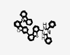 c1ccc(C2=NC(c3ccccc3)NC(c3cccc4c3sc3cccc(-c5ccc6c(c5)oc5cccc(-n7c8ccccc8c8ccccc87)c56)c34)N2)cc1